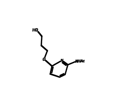 CC(=O)Nc1cccc(OCCCO)n1